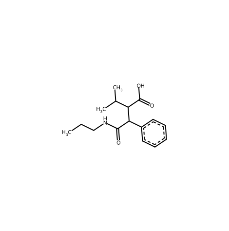 CCCNC(=O)C(c1ccccc1)C(C(=O)O)C(C)C